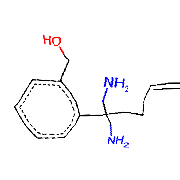 C=CCC(N)(N)c1ccccc1CO